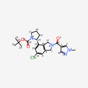 Cn1cc(C(=O)N2Cc3cc(Cl)cc([C@@H]4CCCN4C(=O)OC(C)(C)C)c3C2)cn1